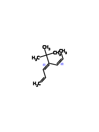 C=C/C=C(\C=C/C)C(C)(C)C